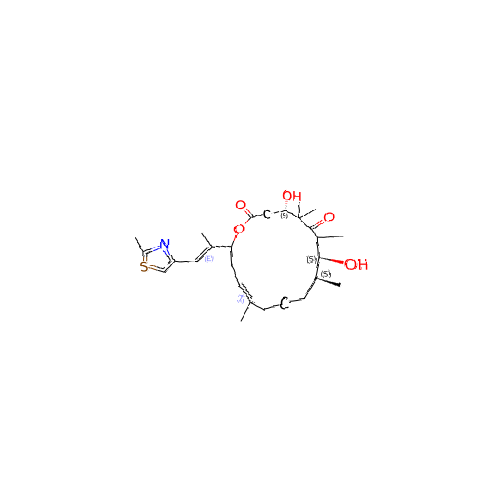 C/C1=C/CC(/C(C)=C/c2csc(C)n2)OC(=O)C[C@H](O)C(C)(C)C(=O)C(C)[C@@H](O)[C@@H](C)CCC1